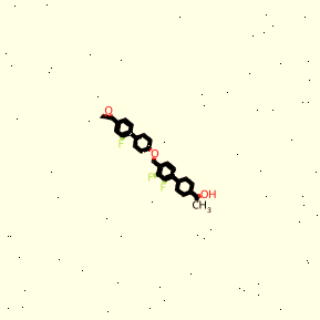 CC(O)C1CCC(c2ccc(COC3CCC(c4ccc(C5CO5)cc4F)CC3)c(F)c2F)CC1